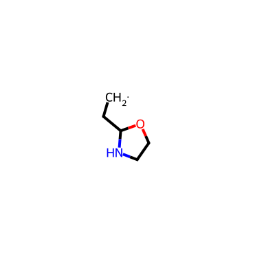 [CH2]CC1NCCO1